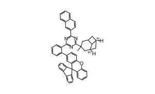 CC1(c2nc(-c3ccc4ccccc4c3)nc(-c3ccccc3-c3ccc4c(c3)C3(c5ccccc5O4)c4ccccc4-c4ccccc43)n2)CC2C[C@@H]3C[C@H](C1)C23